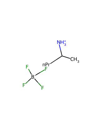 CCCC(C)[NH3+].F[B-](F)(F)F